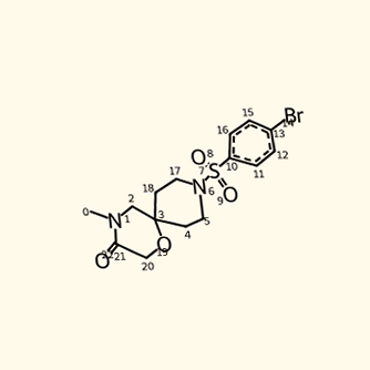 CN1CC2(CCN(S(=O)(=O)c3ccc(Br)cc3)CC2)OCC1=O